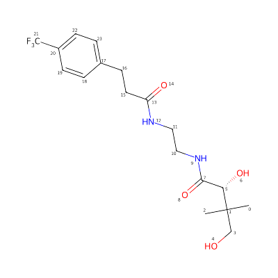 CC(C)(CO)[C@@H](O)C(=O)NCCNC(=O)CCc1ccc(C(F)(F)F)cc1